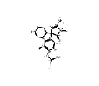 Cc1cc(C2(C3CCNCC3)N=C(N)N(C)C2=O)ccc1OC(F)F